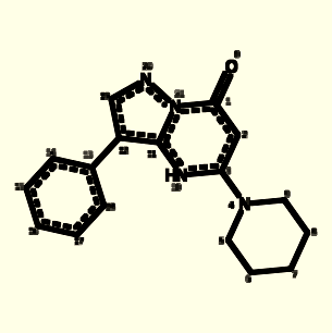 O=c1cc(N2CCCCC2)[nH]c2c(-c3ccccc3)cnn12